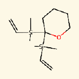 C=C[Si](C)(C)C1([Si](C)(C)C=C)CCCCO1